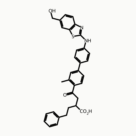 Cc1cc(-c2ccc(Nc3nc4ccc(CO)cc4s3)cc2)ccc1C(=O)CC(CCc1ccccc1)C(=O)O